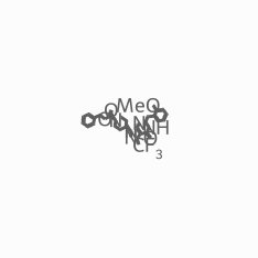 COc1ccccc1Cc1nc2c(c(C(F)(F)F)nn2C2CCN(C(=O)OCc3ccccc3)CC2)c(=O)[nH]1